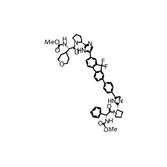 COC(=O)N[C@H](C(=O)N1CCC[C@H]1c1ncc(-c2ccc3c(c2)C(F)(F)c2cc(-c4ccc(-c5cnc([C@@H]6CCCN6C(=O)[C@H](NC(=O)OC)c6ccccc6)[nH]5)cc4)ccc2-3)[nH]1)C1CCOCC1